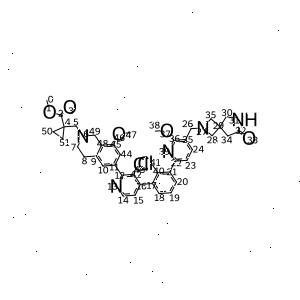 COC(=O)C1(CN2CCc3cc(-c4nccc(-c5cccc(-c6ccc(CN7CC8(CNC(=O)C8)C7)c(OC)n6)c5Cl)c4Cl)cc(OC)c3C2)CC1